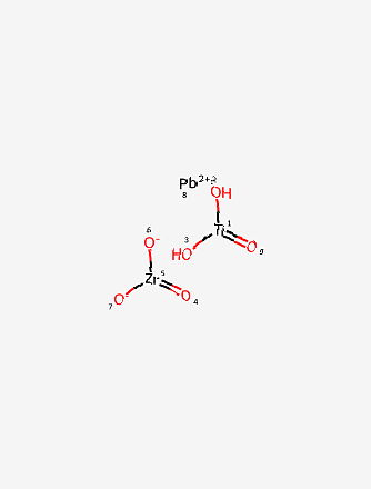 [O]=[Ti]([OH])[OH].[O]=[Zr]([O-])[O-].[Pb+2]